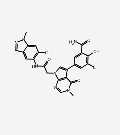 Cn1cnc2c(c(-c3cc(Cl)c(O)c(C(N)=O)c3)cn2CC(=O)Nc2cc3cnn(C)c3cc2Cl)c1=O